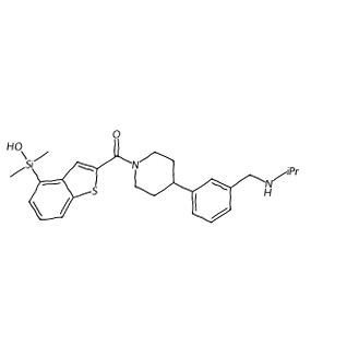 CC(C)NCc1cccc(C2CCN(C(=O)c3cc4c([Si](C)(C)O)cccc4s3)CC2)c1